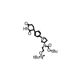 CC(C)(C)OC(=O)N(CCO[Si](C)(C)C(C)(C)C)[C@@H]1CCN(c2ccc(C3CCC(=O)NC3=O)cc2)C1